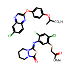 CC(Oc1ccc(Oc2cnc3cc(Cl)ccc3n2)cc1)C(=O)O.COC(=O)CSc1cc(/N=c2\sc(=O)n3n2CCCC3)c(F)cc1Cl